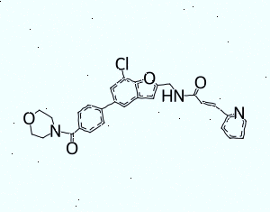 O=C(C=Cc1ccccn1)NCc1cc2cc(-c3ccc(C(=O)N4CCOCC4)cc3)cc(Cl)c2o1